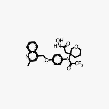 Cc1cc(COc2ccc(N(C(=O)C(F)(F)F)C3(CC(=O)NO)CCCOC3)cc2)c2ccccc2n1